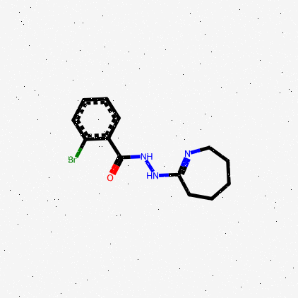 O=C(NNC1=NCCCCC1)c1ccccc1Br